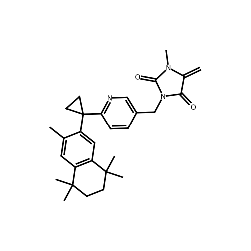 C=C1C(=O)N(Cc2ccc(C3(c4cc5c(cc4C)C(C)(C)CCC5(C)C)CC3)nc2)C(=O)N1C